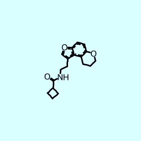 O=C(NCCc1coc2ccc3c(c12)CCCO3)C1CCC1